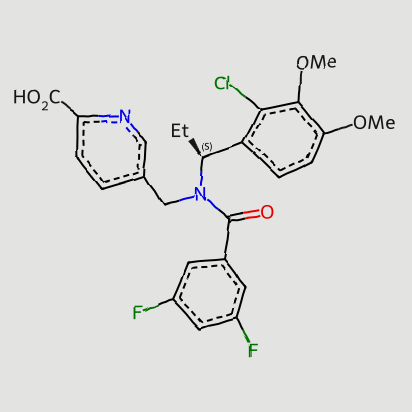 CC[C@@H](c1ccc(OC)c(OC)c1Cl)N(Cc1ccc(C(=O)O)nc1)C(=O)c1cc(F)cc(F)c1